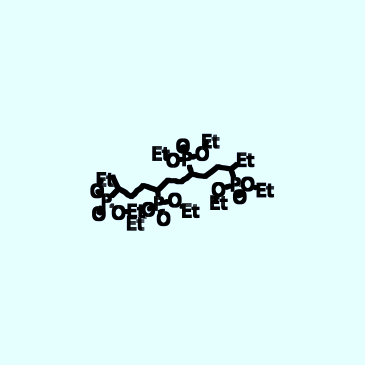 CCOP(=O)(OCC)C(C)CCC(CCC(CCC(CC)P(=O)(OCC)OCC)P(=O)(OCC)OCC)P(=O)(OCC)OCC